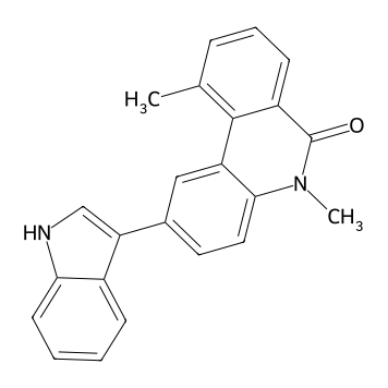 Cc1cccc2c(=O)n(C)c3ccc(-c4c[nH]c5ccccc45)cc3c12